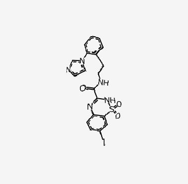 O=C(NCCc1ccccc1-n1ccnc1)C1=Nc2ccc(I)cc2S(=O)(=O)N1